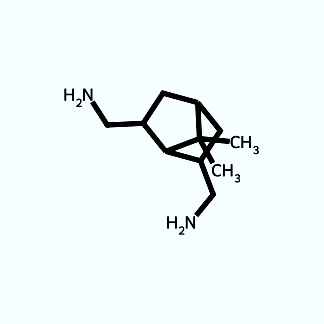 CC1(C)C2CC(CN)C1C(CN)C2